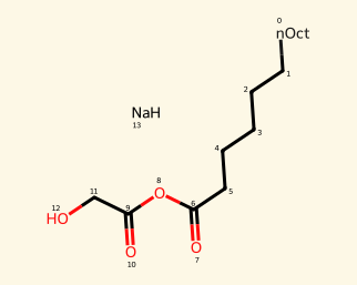 CCCCCCCCCCCCCC(=O)OC(=O)CO.[NaH]